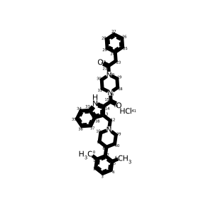 Cc1cccc(C)c1C1CCN(Cc2c(C(=O)N3CCN(C(=O)Cc4ccccc4)CC3)[nH]c3ccccc23)CC1.Cl